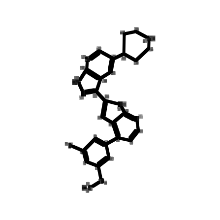 COc1cc(F)cc(-c2ccnc3[nH]c(-c4n[nH]c5ncc(C6CCNCC6)cc45)cc23)c1